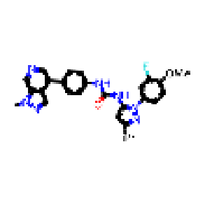 COc1ccc(-n2nc(C(C)C)cc2NC(=O)Nc2ccc(-c3cncc4c3cnn4C)cc2)cc1F